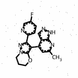 Cc1cc(-c2c(-c3ccc(F)cn3)nn3c2OCCC3)c2cn[nH]c2n1